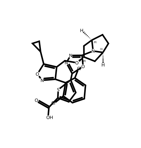 O=C(O)c1ccc(-c2nnc(N3[C@@H]4CC[C@H]3C[C@@H](OCc3c(-c5c(Cl)cccc5Cl)noc3C3CC3)C4)o2)s1